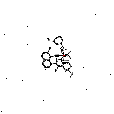 C=Cc1cccc(CCNc2nc(-c3cccc4ccc(F)c(C#C[Si](C(C)C)(C(C)C)C(C)C)c34)c(F)c3nc(SC)ncc23)c1